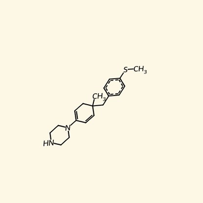 CSc1ccc(CC2(C)C=CC(N3CCNCC3)=CC2)cc1